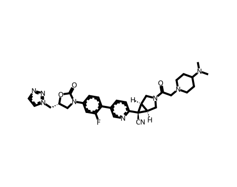 CN(C)C1CCN(CC(=O)N2C[C@@H]3[C@H](C2)[C@@]3(C#N)c2ccc(-c3ccc(N4C[C@H](Cn5ccnn5)OC4=O)cc3F)cn2)CC1